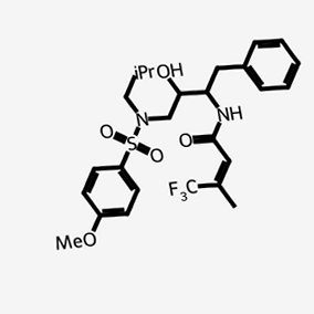 COc1ccc(S(=O)(=O)N(CC(C)C)CC(O)C(Cc2ccccc2)NC(=O)/C=C(/C)C(F)(F)F)cc1